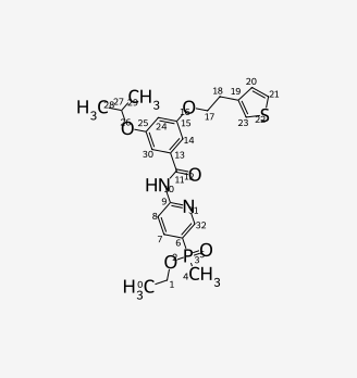 CCOP(C)(=O)c1ccc(NC(=O)c2cc(OCCc3ccsc3)cc(OC(C)C)c2)nc1